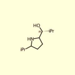 CC(C)C1CCC([C@H](O)C(C)C)N1